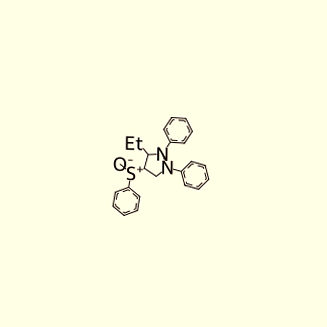 CCC1C([S+]([O-])c2ccccc2)CN(c2ccccc2)N1c1ccccc1